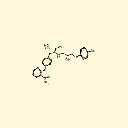 Cl.Cl.NC(=O)c1cccnc1Oc1ccc(C[C@@H](CO)NC[C@H](O)COc2ccc(O)cc2)cc1